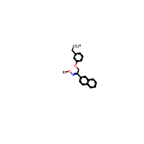 CCON=C(COc1cccc(CC(=O)O)c1)c1ccc2ccccc2c1